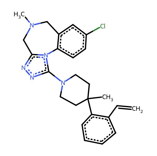 C=Cc1ccccc1C1(C)CCN(c2nnc3n2-c2ccc(Cl)cc2CN(C)C3)CC1